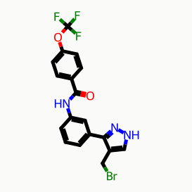 O=C(Nc1cccc(-c2n[nH]cc2CBr)c1)c1ccc(OC(F)(F)F)cc1